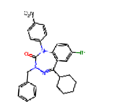 O=C1N(Cc2ccccc2)N=C(C2CCCCC2)c2cc(Br)ccc2N1c1ccc([N+](=O)[O-])cc1